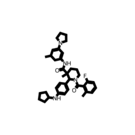 Cc1cccc(F)c1C(=O)N1CCCC(C)(C(=O)NC2=CC(N3CCCC3)=CC(C)C2)C1c1ccc(NC2CCCC2)cc1